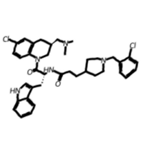 CN(C)C[C@@H]1Cc2cc(Cl)ccc2N(C(=O)[C@@H](Cc2c[nH]c3ccccc23)NC(=O)CCC2CCN(Cc3ccccc3Cl)CC2)C1